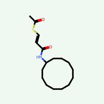 CC(=O)SC=CC(=O)NC1CCCCCCCCCCC1